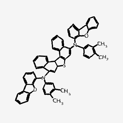 Cc1ccc(N(C2=CC3Sc4cc(N(c5ccc(C)c(C)c5)c5cccc6c5oc5ccccc56)c5ccccc5c4C3c3ccccc32)c2cccc3c2oc2ccccc23)cc1C